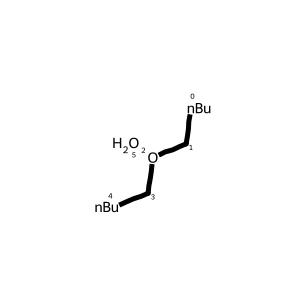 CCCCCOCCCCC.O